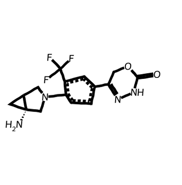 N[C@]12CC1CN(c1ccc(C3=NNC(=O)OC3)cc1C(F)(F)F)C2